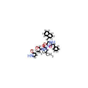 CC(C)C[C@H](NC(=O)[C@H](Cc1cccc2ccccc12)NC(=O)Cc1ccccc1)C(=O)N[C@H](C=O)CC[C@@H]1CCNC1=O